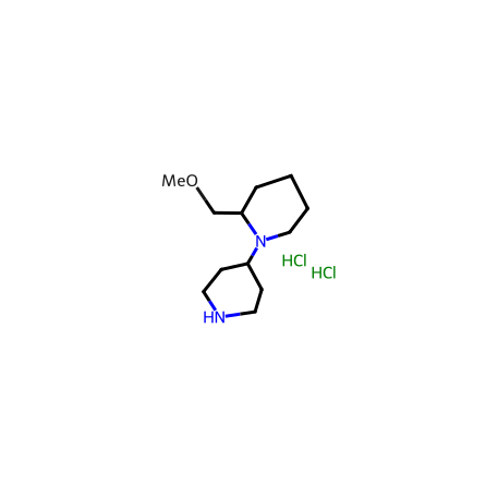 COCC1CCCCN1C1CCNCC1.Cl.Cl